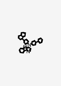 c1ccc(-c2ccc(N(c3ccc(-c4cccc5ccccc45)cc3)c3ccnc4c3oc3ccccc34)cc2)cc1